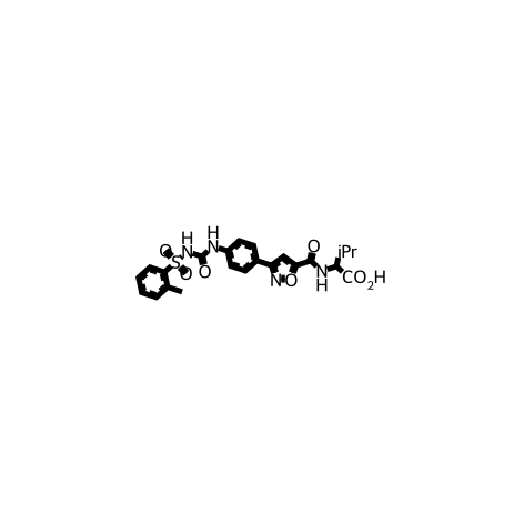 Cc1ccccc1S(=O)(=O)NC(=O)Nc1ccc(-c2cc(C(=O)NC(C(=O)O)C(C)C)on2)cc1